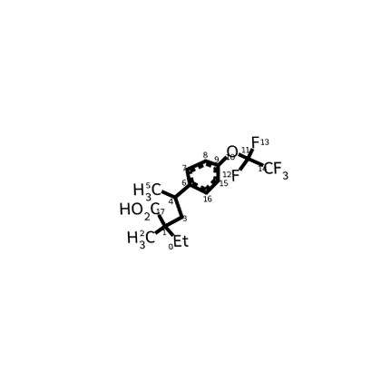 CCC(C)(CC(C)c1ccc(OC(F)(F)C(F)(F)F)cc1)C(=O)O